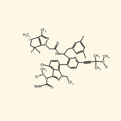 CNC(=O)N(c1nn(CC(F)(F)F)c2c(-c3ccc(C#CC(C)(C)[S+](C)[O-])nc3C(Cc3cc(F)cc(F)c3)NC(=O)Cn3nc(C(F)(F)F)c4c3C(F)(F)C[C@@H]4C)ccc(Cl)c12)[S+](C)[O-]